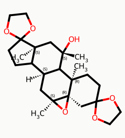 C[C@]1(O)C[C@@]2(C)C(CCC23OCCO3)[C@@H]2C[C@]3(C)O[C@@]34CC3(CC[C@]4(C)C21)OCCO3